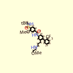 COCCNCCCc1cc(NC(=O)c2ccc([S+]([O-])NC(C)(C)C)c(OC)c2)ccc1-c1ccccc1C(F)(F)F